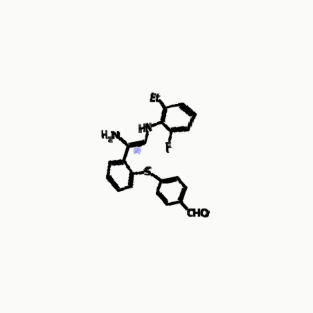 CCc1cccc(F)c1N/C=C(\N)c1ccccc1Sc1ccc(C=O)cc1